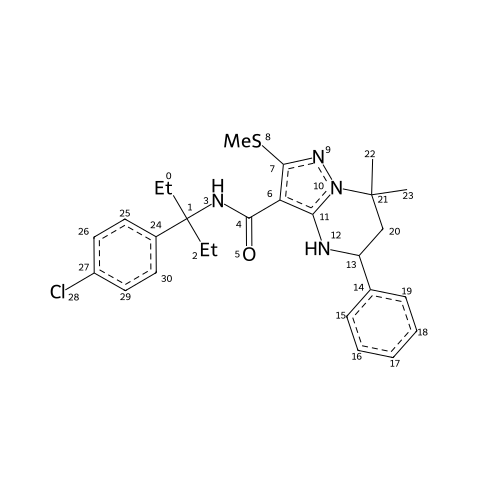 CCC(CC)(NC(=O)c1c(SC)nn2c1NC(c1ccccc1)CC2(C)C)c1ccc(Cl)cc1